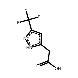 O=C(O)Cc1[c]c(C(F)(F)F)n[nH]1